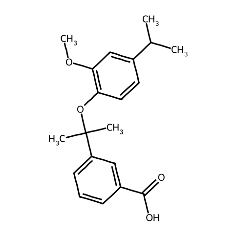 COc1cc(C(C)C)ccc1OC(C)(C)c1cccc(C(=O)O)c1